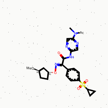 CO[C@@H]1CC[C@@H](O/N=C(/C(=O)Nc2cnc(N(C)C(C)=O)cn2)c2ccc(S(=O)(=O)C3CC3)cc2)C1